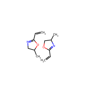 C=CC1=NC(C)CO1.C=CC1=NCC(C)O1